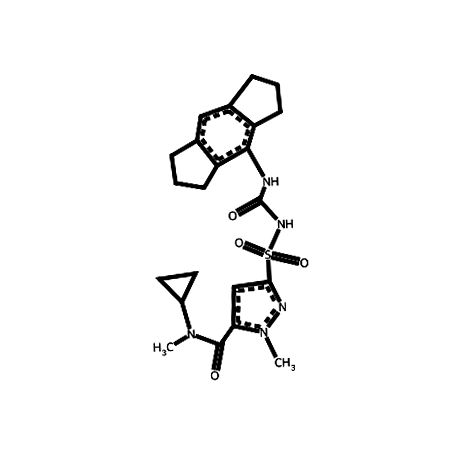 CN(C(=O)c1cc(S(=O)(=O)NC(=O)Nc2c3c(cc4c2CCC4)CCC3)nn1C)C1CC1